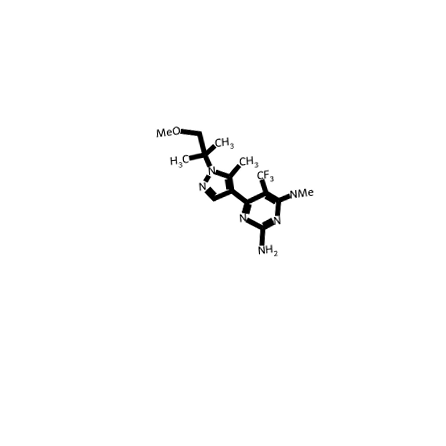 CNc1nc(N)nc(-c2cnn(C(C)(C)COC)c2C)c1C(F)(F)F